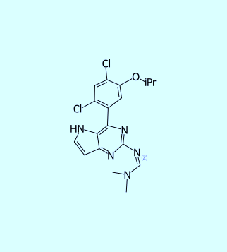 CC(C)Oc1cc(-c2nc(/N=C\N(C)C)nc3cc[nH]c23)c(Cl)cc1Cl